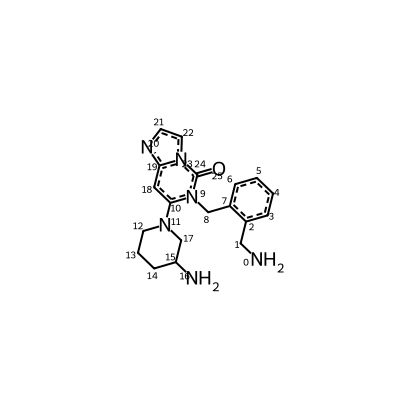 NCc1ccccc1Cn1c(N2CCCC(N)C2)cc2nccn2c1=O